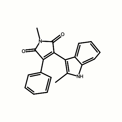 Cc1[nH]c2ccccc2c1C1=C(c2ccccc2)C(=O)N(C)C1=O